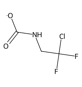 [O]C(=O)NCC(F)(F)Cl